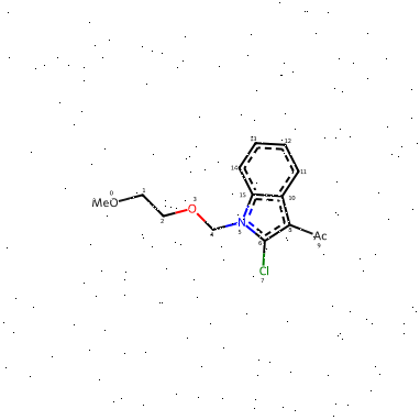 COCCOCn1c(Cl)c(C(C)=O)c2ccccc21